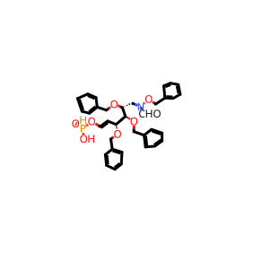 O=CN(C[C@@H](OCc1ccccc1)[C@@H](OCc1ccccc1)[C@@H](C=CO[PH](=O)O)OCc1ccccc1)OCc1ccccc1